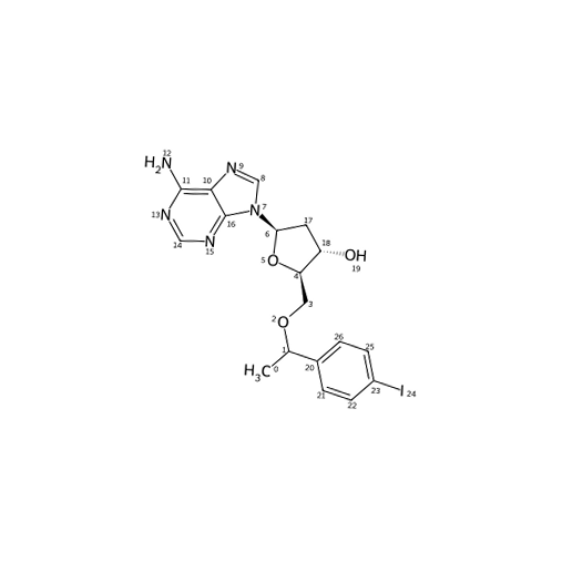 CC(OC[C@H]1O[C@@H](n2cnc3c(N)ncnc32)C[C@@H]1O)c1ccc(I)cc1